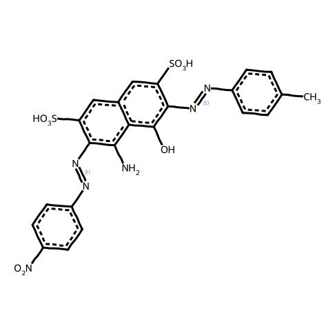 Cc1ccc(/N=N/c2c(S(=O)(=O)O)cc3cc(S(=O)(=O)O)c(/N=N/c4ccc([N+](=O)[O-])cc4)c(N)c3c2O)cc1